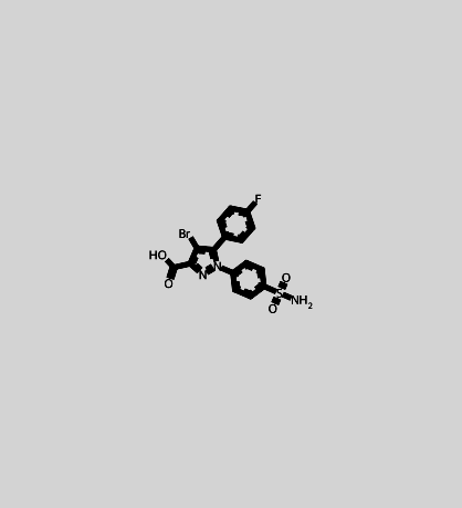 NS(=O)(=O)c1ccc(-n2nc(C(=O)O)c(Br)c2-c2ccc(F)cc2)cc1